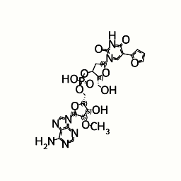 CO[C@H]1[C@@H](O)[C@@H](COP(=O)(O)OC2C[C@H](n3cc(-c4ccco4)c(=O)[nH]c3=O)O[C@@H]2CO)O[C@H]1n1cnc2c(N)ncnc21